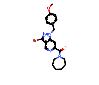 COc1ccc(Cn2nc(Br)c3cnc(C(=O)N4CCCCCC4)cc32)cc1